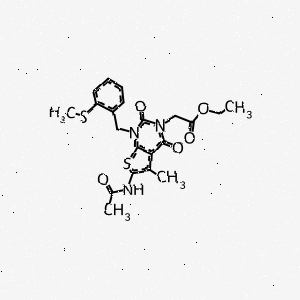 CCOC(=O)Cn1c(=O)c2c(C)c(NC(C)=O)sc2n(Cc2ccccc2SC)c1=O